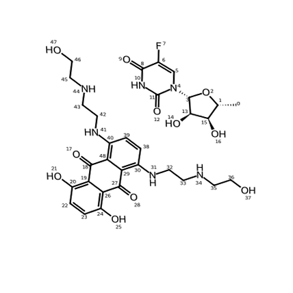 C[C@H]1O[C@@H](n2cc(F)c(=O)[nH]c2=O)[C@H](O)[C@@H]1O.O=C1c2c(O)ccc(O)c2C(=O)c2c(NCCNCCO)ccc(NCCNCCO)c21